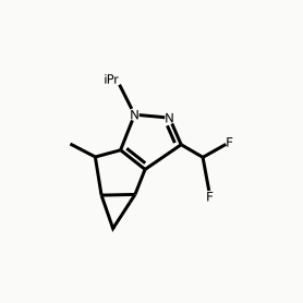 CC1c2c(c(C(F)F)nn2C(C)C)C2CC12